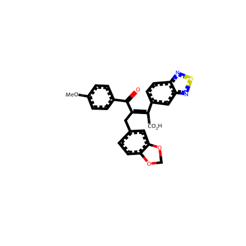 COc1ccc(C(=O)C(Cc2ccc3c(c2)OCO3)=C(C(=O)O)c2ccc3nsnc3c2)cc1